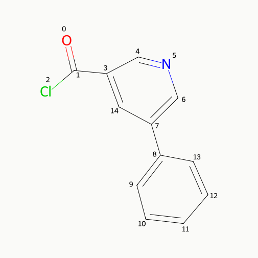 O=C(Cl)c1cncc(-c2ccccc2)c1